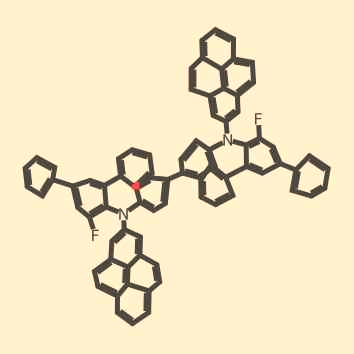 Fc1cc(-c2ccccc2)cc(-c2ccccc2)c1N(c1ccc(-c2ccc(N(c3cc4ccc5cccc6ccc(c3)c4c56)c3c(F)cc(-c4ccccc4)cc3-c3ccccc3)cc2)cc1)c1cc2ccc3cccc4ccc(c1)c2c34